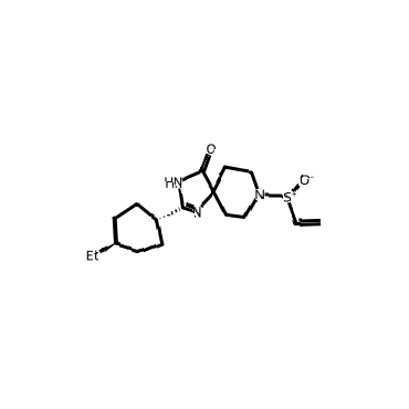 C=C[S+]([O-])N1CCC2(CC1)N=C([C@H]1CC[C@H](CC)CC1)NC2=O